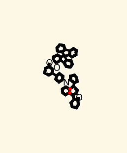 c1ccc(N(c2ccc(-c3cccc4c3Oc3c(ccc5c3-c3ccccc3C53c5ccccc5-c5ccccc53)O4)cc2)c2ccccc2-c2ccc3c(c2)oc2ccccc23)cc1